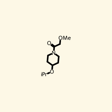 COCC(=O)N1CCC(OC(C)C)CC1